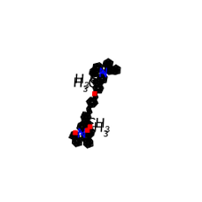 CC1(C)c2cc(/C=C/c3ccc(/C=C/c4ccc5c(c4)C(C)(C)c4cc(N(c6cccc7ccccc67)c6cc7ccccc7c7ccccc67)ccc4-5)cc3)ccc2-c2ccc(N(c3cccc4ccccc34)c3cc4ccccc4c4ccccc34)cc21